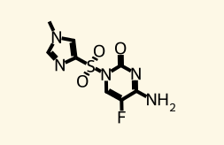 Cn1cnc(S(=O)(=O)n2cc(F)c(N)nc2=O)c1